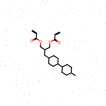 C=CC(=O)OCC(COC(=O)C=C)CC1CCC(C2CCC(C)CC2)CC1